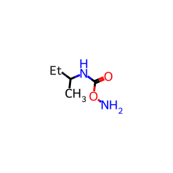 CCC(C)NC(=O)ON